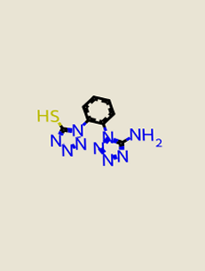 Nc1nnnn1-c1ccccc1-n1nnnc1S